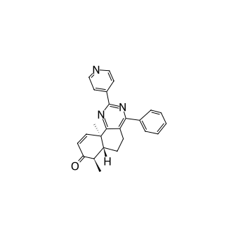 C[C@H]1C(=O)C=C[C@@]2(C)c3nc(-c4ccncc4)nc(-c4ccccc4)c3CC[C@H]12